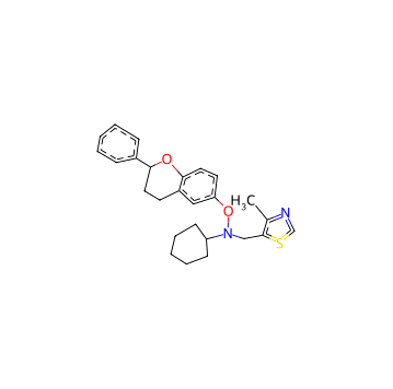 Cc1ncsc1CN(Oc1ccc2c(c1)CCC(c1ccccc1)O2)C1CCCCC1